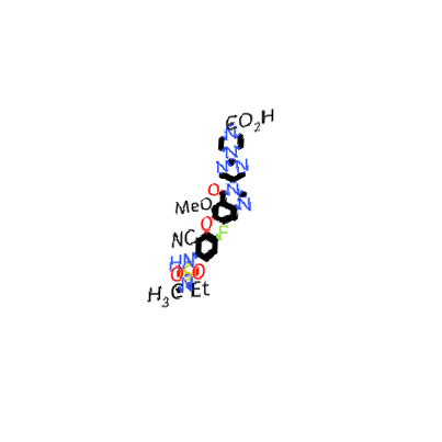 CCN(C)S(=O)(=O)Nc1ccc(F)c(Oc2ccc3ncn(-c4cnc(N5CCN(C(=O)O)CC5)nc4)c(=O)c3c2OC)c1C#N